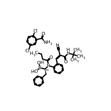 CCCC(=O)N(c1ccccc1C=C(C#N)C(=O)NC(C)(C)C)[C@@H](Cc1ccccc1)B(O)O.NC(=O)c1cc(Cl)ccc1Cl